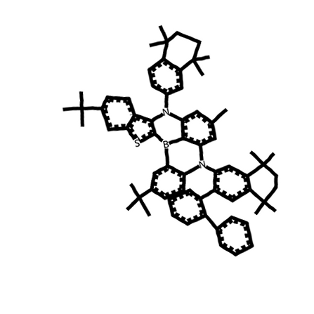 Cc1cc2c3c(c1)N(c1ccc4c(c1)C(C)(C)CCC4(C)C)c1c(sc4cc(C(C)(C)C)ccc14)B3c1cc(C(C)(C)C)ccc1N2c1cc2c(cc1-c1ccccc1-c1ccccc1)C(C)(C)CCC2(C)C